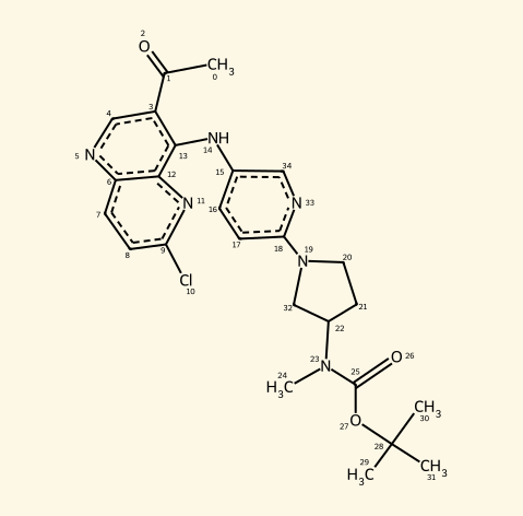 CC(=O)c1cnc2ccc(Cl)nc2c1Nc1ccc(N2CCC(N(C)C(=O)OC(C)(C)C)C2)nc1